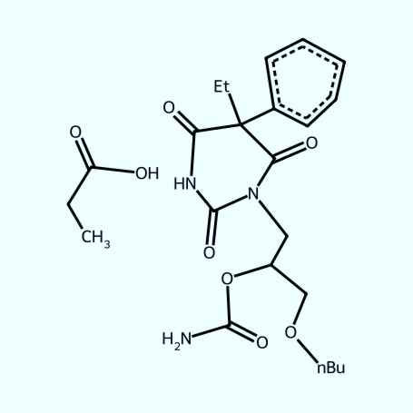 CCC(=O)O.CCCCOCC(CN1C(=O)NC(=O)C(CC)(c2ccccc2)C1=O)OC(N)=O